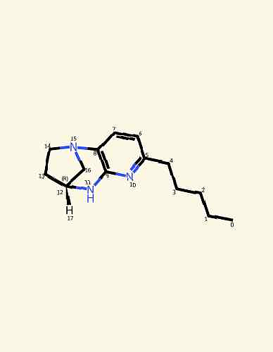 CCCCCc1ccc2c(n1)N[C@@H]1CCN2C1